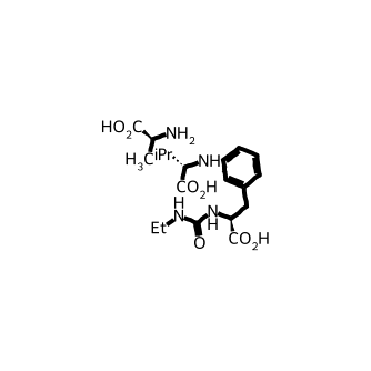 CC(C)[C@H](N)C(=O)O.CCNC(=O)N[C@@H](Cc1ccccc1)C(=O)O.C[C@H](N)C(=O)O